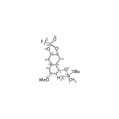 COc1cc(O[Si](C)(C)C(C)(C)C)c2ccc(OS(=O)(=O)C(F)(F)F)cc2c1